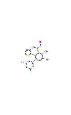 CCCc1cc(-c2cc(F)cc(F)c2)c(-c2sccc2C)c(/C(N)=N/O)c1O